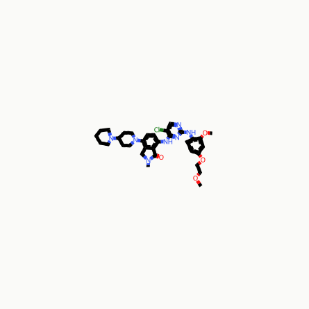 COCCOc1ccc(Nc2ncc(Cl)c(Nc3ccc(N4CCC(N5CCCCC5)CC4)c4c3C(=O)N(C)C4)n2)c(OC)c1